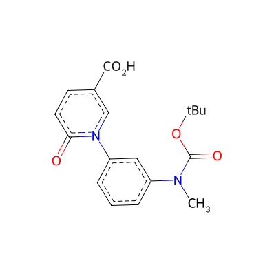 CN(C(=O)OC(C)(C)C)c1cccc(-n2cc(C(=O)O)ccc2=O)c1